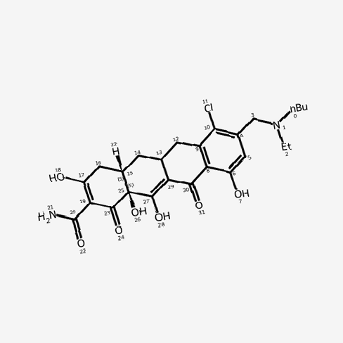 CCCCN(CC)Cc1cc(O)c2c(c1Cl)CC1C[C@H]3CC(O)=C(C(N)=O)C(=O)[C@@]3(O)C(O)=C1C2=O